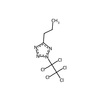 CCCc1nnn(C(Cl)(Cl)C(Cl)(Cl)Cl)n1